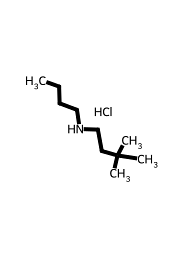 CCCCNCCC(C)(C)C.Cl